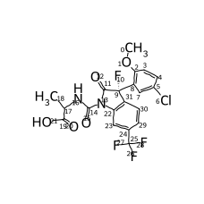 COc1ccc(Cl)cc1[C@]1(F)C(=O)N(C(=O)NC(C)C(=O)O)c2cc(C(F)(F)F)ccc21